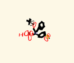 CC(C)(C)[Si](C)(C)OC/C(=C(\COC(=O)O)c1ccc(S(C)(=O)=O)cc1)c1ccccc1